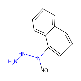 NNN(N=O)c1cccc2ccccc12